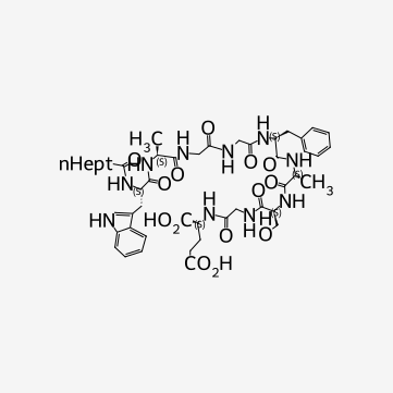 CCCCCCCC(=O)N[C@@H](Cc1c[nH]c2ccccc12)C(=O)N[C@@H](C)C(=O)NCC(=O)NCC(=O)N[C@@H](Cc1ccccc1)C(=O)N[C@@H](C)C(=O)N[C@@H](CO)C(=O)NCC(=O)N[C@@H](CCC(=O)O)C(=O)O